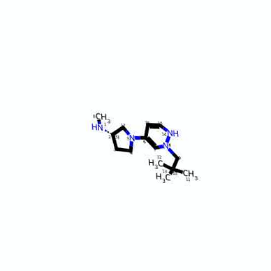 CN[C@H]1CCN(C2=CN(CC(C)(C)C)NC=C2)C1